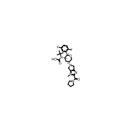 Cn1c(C(=O)N2CCCC2)nc2c1CN([C@H]1CO[C@H](c3cc(F)ccc3F)[C@@H](N(C(=O)O)C(C)(C)C)C1)C2